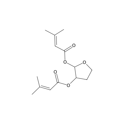 CC(C)=CC(=O)OC1CCOC1OC(=O)C=C(C)C